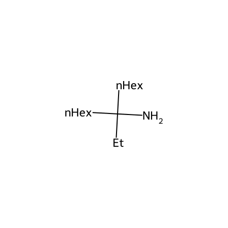 CCCCCCC(N)(CC)CCCCCC